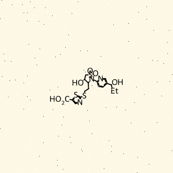 CCC(O)c1ccc(N2C(CCSc3ncc(C(=O)O)s3)C(O)CS2(=O)=O)nc1